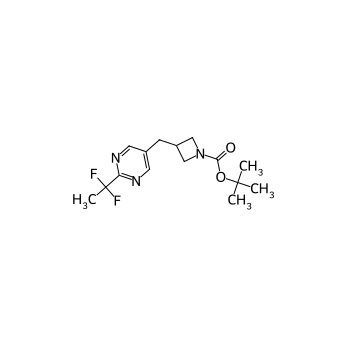 CC(C)(C)OC(=O)N1CC(Cc2cnc(C(C)(F)F)nc2)C1